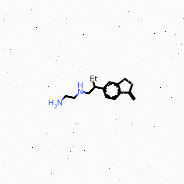 C=C1CCc2cc(C(CC)CNCCN)ccc21